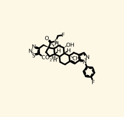 C[C@]12Cc3cnn(-c4ccc(F)cc4)c3C=C1CC[C@@H]1[C@@H]2[C@@H](O)C[C@@]2(C)[C@H]1CC[C@]2(Cc1nnsc1C(=O)O)C(=O)SCF